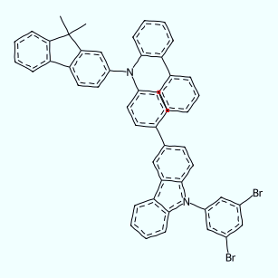 CC1(C)c2ccccc2-c2ccc(N(c3ccc(-c4ccc5c(c4)c4ccccc4n5-c4cc(Br)cc(Br)c4)cc3)c3ccccc3-c3ccccc3)cc21